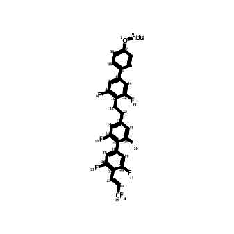 CCCCOc1ccc(-c2cc(F)c(CCc3cc(F)c(-c4cc(F)c(/C=C/C(F)(F)F)c(F)c4)c(F)c3)c(F)c2)cc1